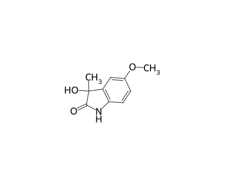 COc1ccc2c(c1)C(C)(O)C(=O)N2